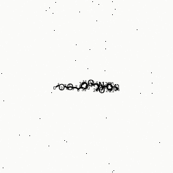 CCOCCOCCCc1ccc(OCCc2nc(-c3ccc(SC)cc3)oc2C)cc1